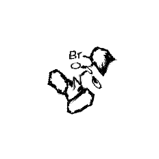 O=S(=O)(c1ccccc1Br)n1c2ccccc2c2ccccc21